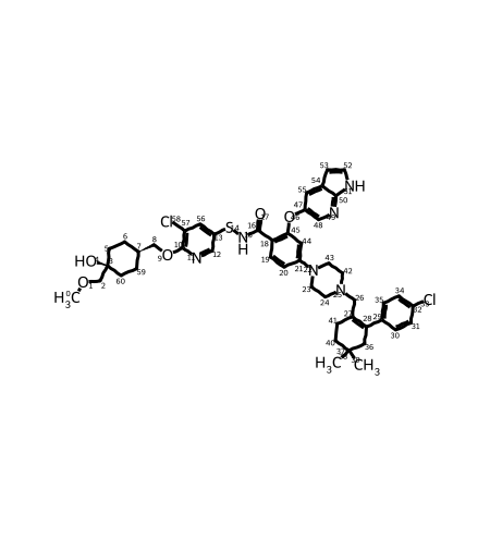 COC[C@]1(O)CC[C@@H](COc2ncc(SNC(=O)c3ccc(N4CCN(CC5=C(c6ccc(Cl)cc6)CC(C)(C)CC5)CC4)cc3Oc3cnc4[nH]ccc4c3)cc2Cl)CC1